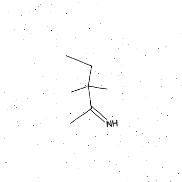 CCC(C)(C)C(C)=N